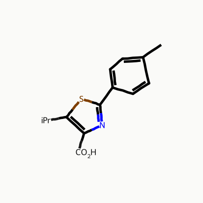 Cc1ccc(-c2nc(C(=O)O)c(C(C)C)s2)cc1